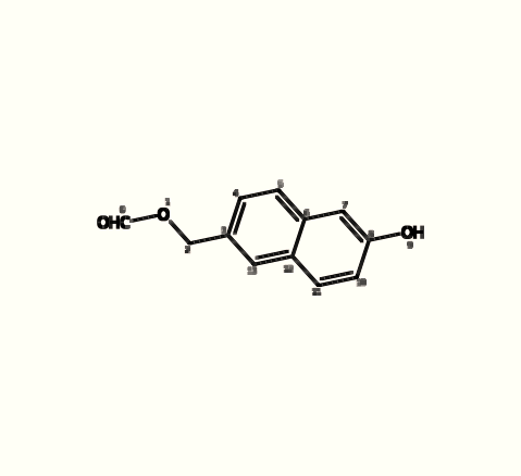 O=COCc1ccc2cc(O)ccc2c1